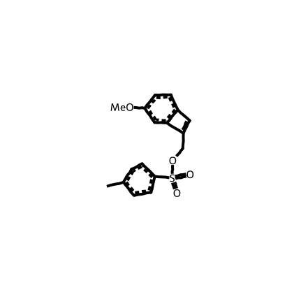 COc1ccc2c(c1)C(COS(=O)(=O)c1ccc(C)cc1)=C2